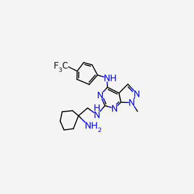 Cn1ncc2c(Nc3ccc(C(F)(F)F)cc3)nc(NCC3(N)CCCCC3)nc21